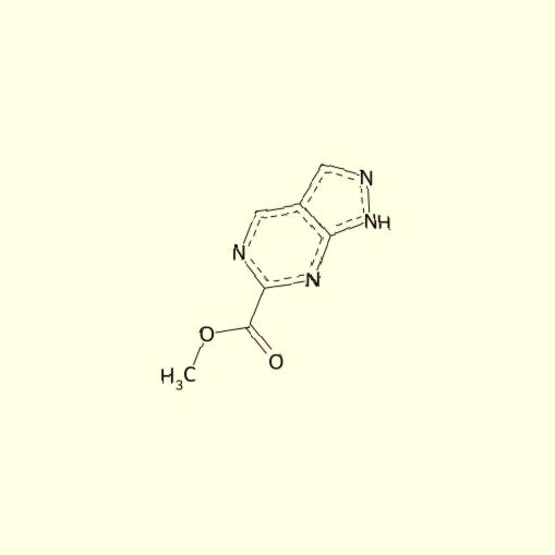 COC(=O)c1ncc2cn[nH]c2n1